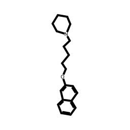 c1ccc2cc(OCCCCCN3CCCCC3)ccc2c1